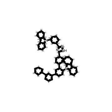 c1ccc(-c2cccc(-c3ccc(-n4c5ccccc5c5ccccc54)c(-c4ccc(-c5nc(-c6cccc(-n7c8ccccc8c8ccccc87)c6)n[nH]5)cc4)c3)c2)cc1